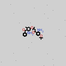 CC1CC(OC(C)(C)CC(=O)c2ccc(OC(C)(C)C)cc2N)=CC(N)=C1C(=O)c1ccccc1